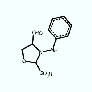 O=CC1COC(S(=O)(=O)O)N1Nc1ccccc1